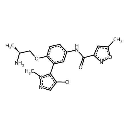 Cc1cc(C(=O)Nc2ccc(OC[C@H](C)N)c(-c3c(Cl)cnn3C)c2)no1